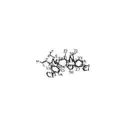 CC=CCN(CCC)C1(c2ccc(Cl)cc2)CCC(N(CC)c2ccc(Cl)cc2OC)C(C)C1